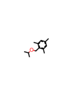 Cc1cc(C)c(COC(C)C)c(C)c1